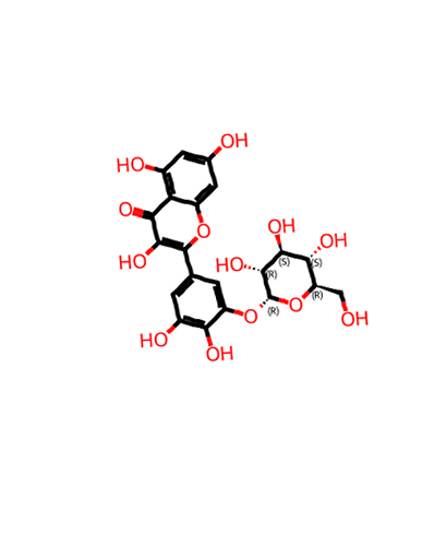 O=c1c(O)c(-c2cc(O)c(O)c(O[C@H]3O[C@H](CO)[C@@H](O)[C@H](O)[C@H]3O)c2)oc2cc(O)cc(O)c12